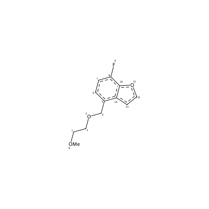 COCCOCc1ccc(F)c2o[c]cc12